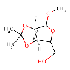 COC1OC(CO)[C@H]2OC(C)(C)O[C@@H]12